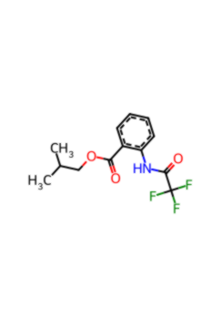 CC(C)COC(=O)c1ccccc1NC(=O)C(F)(F)F